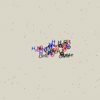 CCC(C)(C)C(=O)C(=O)N1CCCC[C@H]1C(=O)O[C@H](CCc1ccc(OC)c(OC)c1)c1cccc(OCCNc2ncc(CN3C[C@@H](SC4=C(C=O)N5C(=O)[C@H]([C@@H](C)O)[C@H]5[C@H]4C)C[C@H]3CNS(N)(=O)=O)cn2)c1